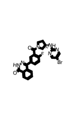 O=C(c1cc(-c2n[nH]c(=O)c3ccccc23)ccc1F)N1CC[C@@H](Nc2ncc(Br)cn2)C1